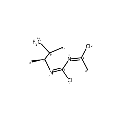 C/C(Cl)=N\C(Cl)=N/[C@@H](C)C(C)C(F)(F)F